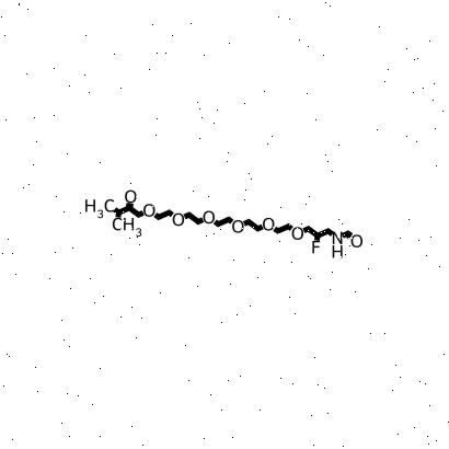 CC(C)C(=O)COCCOCCOCCOCCOCCOCC(F)CNC=O